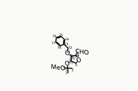 COC(C)(C)O[C@H]1CO[C@H](C=O)[C@@H]1OCc1ccccc1